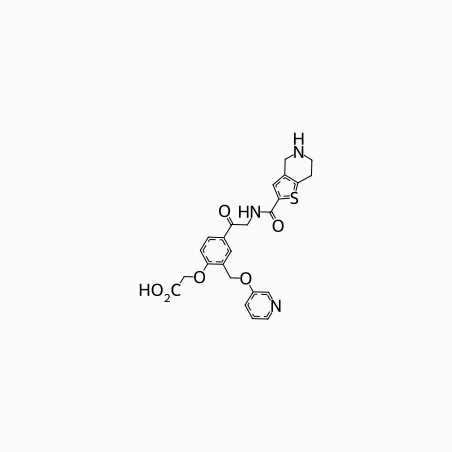 O=C(O)COc1ccc(C(=O)CNC(=O)c2cc3c(s2)CCNC3)cc1COc1cccnc1